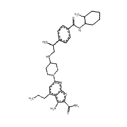 CCCc1cc(N2CCC(NCC(O)c3ccc(C(=O)NC4CCCCC4C)cc3)CC2)nc2sc(C(N)=O)c(N)c12